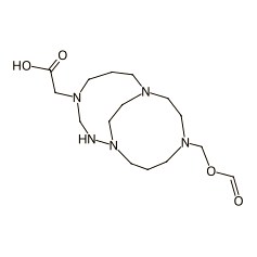 O=COCN1CCCN2CCN(CCCN(CC(=O)O)CN2)CC1